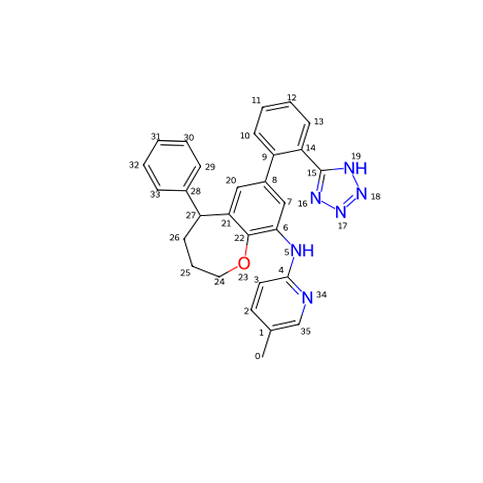 Cc1ccc(Nc2cc(-c3ccccc3-c3nnn[nH]3)cc3c2OCCCC3c2ccccc2)nc1